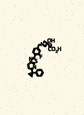 O=C(O)OC1(O)CN(Cc2ccc(-c3nc4ccc(C5(c6ccccc6)CC5)nc4s3)c(F)c2)C1